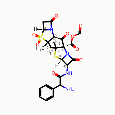 CC1(C)S[C@@H]2[C@H](NC(=O)C(N)c3ccccc3)C(=O)N2[C@]1(C(=O)OC=O)C(=O)[C@@H]1N2C(=O)C[C@H]2S(=O)(=O)C1(C)C